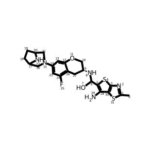 Cc1nc2sc(C(O)N[C@H]3COc4cc(N5CC6CCC(C5)N6)cc(F)c4C3)c(N)c2s1